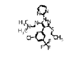 CCSc1nn(-c2ncccn2)c(N=CN(C)C)c1-c1cc(Cl)cc(C(F)(F)F)c1